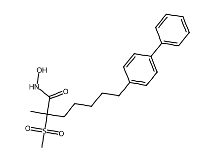 CC(CCCCCc1ccc(-c2ccccc2)cc1)(C(=O)NO)S(C)(=O)=O